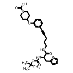 CC(C)(C)OC(=O)NC(Cc1cccs1)C(=O)NCCCC#Cc1cccc(OC2CCN(C(=O)O)CC2)c1